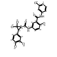 O=C(Nc1ccnc(Cl)c1)c1cc(NC(=O)[C@H]2C(c3ccc(Cl)c(Cl)c3)C2(Cl)Cl)ccc1Cl